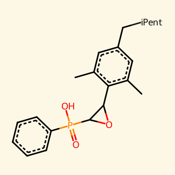 CCCC(C)Cc1cc(C)c(C2OC2P(=O)(O)c2ccccc2)c(C)c1